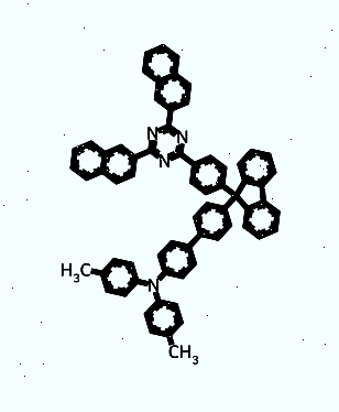 Cc1ccc(N(c2ccc(C)cc2)c2ccc(-c3ccc(C4(c5ccc(-c6nc(-c7ccc8ccccc8c7)nc(-c7ccc8ccccc8c7)n6)cc5)c5ccccc5-c5ccccc54)cc3)cc2)cc1